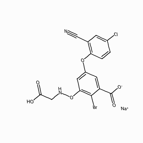 N#Cc1cc(Cl)ccc1Oc1cc(ONCC(=O)O)c(Br)c(C(=O)[O-])c1.[Na+]